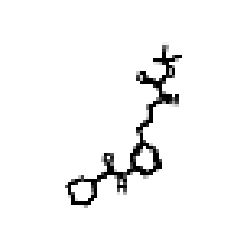 CC(C)(C)OC(=O)NCCCc1cccc(NC(=O)C2CCCCC2)c1